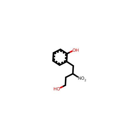 O=[N+]([O-])C(CCO)Cc1ccccc1O